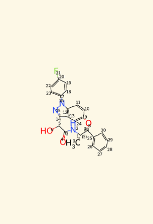 C[C@H](NC(=O)CO)[C@H](Oc1ccc2c(cnn2-c2ccc(F)cc2)c1)c1ccccc1